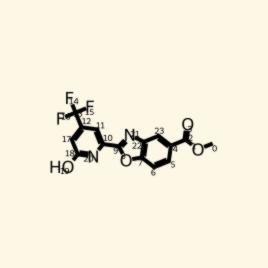 COC(=O)c1ccc2oc(-c3cc(C(F)(F)F)cc(O)n3)nc2c1